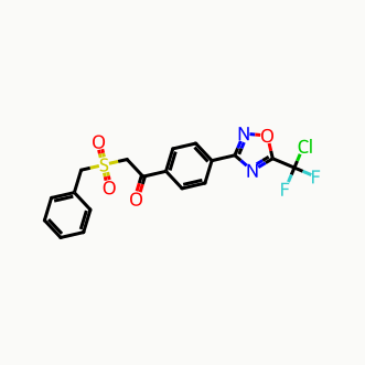 O=C(CS(=O)(=O)Cc1ccccc1)c1ccc(-c2noc(C(F)(F)Cl)n2)cc1